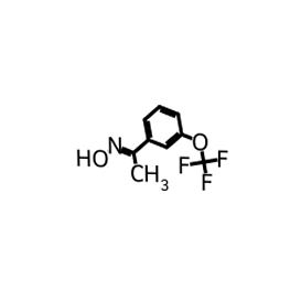 C/C(=N\O)c1cccc(OC(F)(F)F)c1